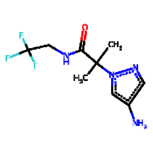 CC(C)(C(=O)NCC(F)(F)F)n1cc(N)cn1